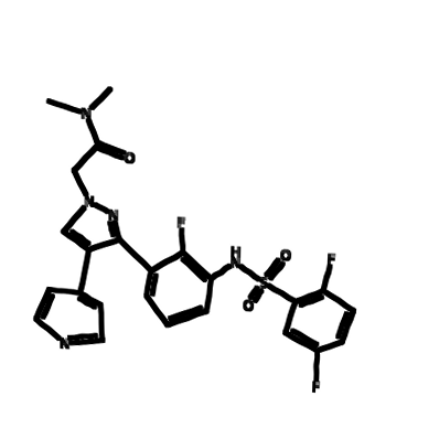 CN(C)C(=O)Cn1cc(-c2ccncc2)c(-c2cccc(NS(=O)(=O)c3cc(F)ccc3F)c2F)n1